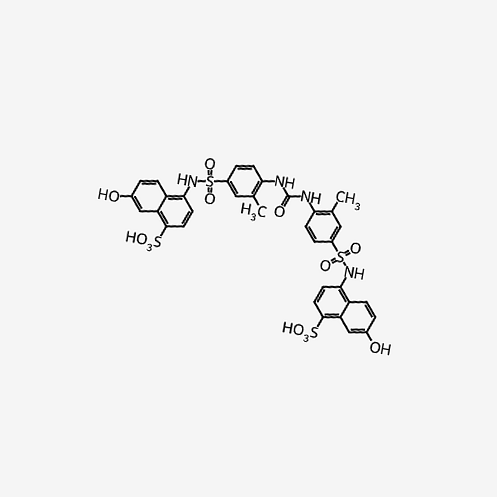 Cc1cc(S(=O)(=O)Nc2ccc(S(=O)(=O)O)c3cc(O)ccc23)ccc1NC(=O)Nc1ccc(S(=O)(=O)Nc2ccc(S(=O)(=O)O)c3cc(O)ccc23)cc1C